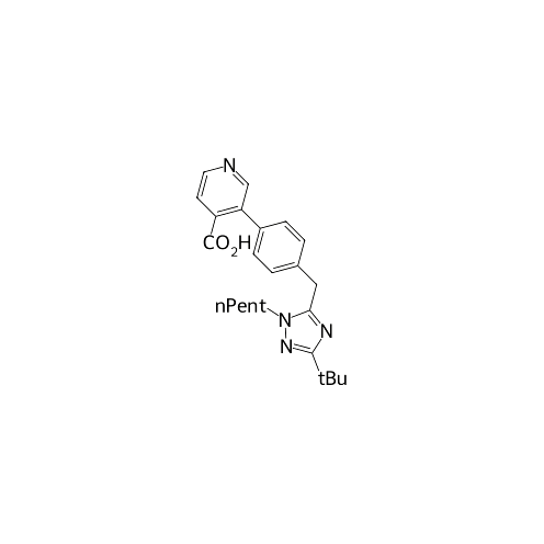 CCCCCn1nc(C(C)(C)C)nc1Cc1ccc(-c2cnccc2C(=O)O)cc1